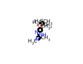 CC1=CN(C)CC1(C#N)Nc1ccc(O[Si](C)(C)C(C)(C)C)cc1